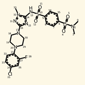 CN(C)S(=O)(=O)c1ccc(S(=O)(=O)Nc2nc(N3CCN(c4ccc(Cl)cc4F)CC3)nn2C)cc1